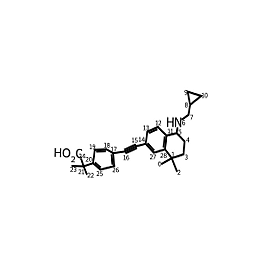 CC1(C)CCC(NCC2CC2)c2ccc(C#Cc3ccc(C(C)(C)C(=O)O)cc3)cc21